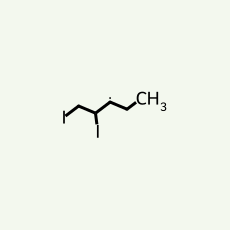 CC[CH]C(I)CI